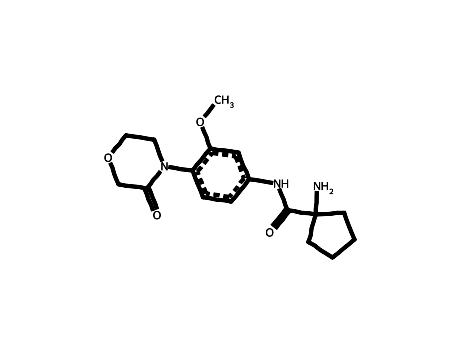 COc1cc(NC(=O)C2(N)CCCC2)ccc1N1CCOCC1=O